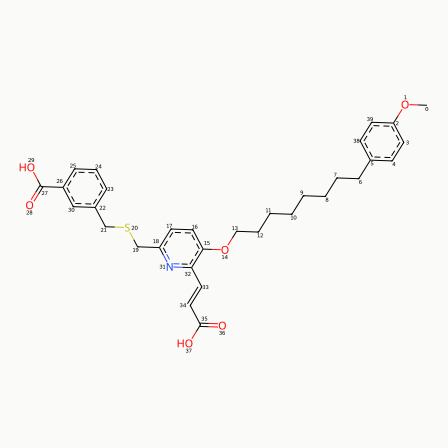 COc1ccc(CCCCCCCCOc2ccc(CSCc3cccc(C(=O)O)c3)nc2/C=C/C(=O)O)cc1